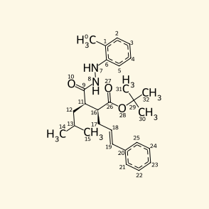 Cc1ccccc1NNC(=O)[C@H](CC(C)C)[C@H](CC=Cc1ccccc1)C(=O)OC(C)(C)C